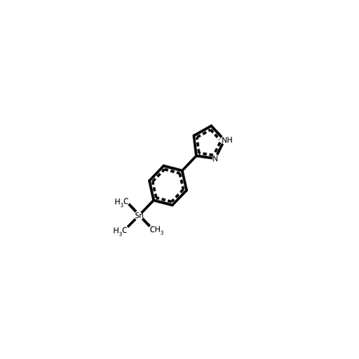 [CH3][Sn]([CH3])([CH3])[c]1ccc(-c2cc[nH]n2)cc1